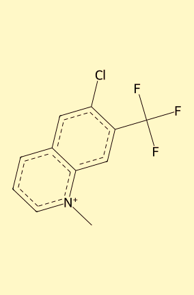 C[n+]1cccc2cc(Cl)c(C(F)(F)F)cc21